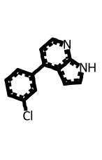 Clc1cccc(-c2ccnc3[nH]ccc23)c1